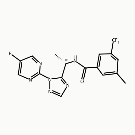 Cc1cc(C(=O)N[C@@H](C)c2ncnn2-c2ncc(F)cn2)cc(C(F)(F)F)c1